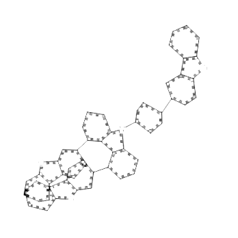 c1ccc2c(c1)oc1cc(-c3cccc4c3c3c(-c5ccc6c(c5)oc5ccccc56)cccc3n4-c3ccc(-c4ccc5oc6ccccc6c5c4)cc3)ccc12